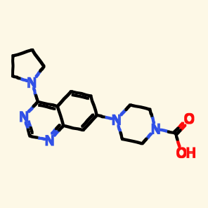 O=C(O)N1CCN(c2ccc3c(N4CCCC4)ncnc3c2)CC1